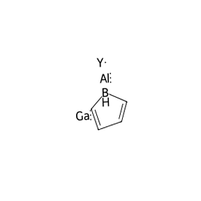 B1C=CC=C1.[Al].[Ga].[Y]